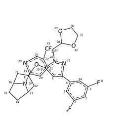 Fc1cc(F)cc(-c2cc(OC3CC4CCC(C3)N4c3ccc(C(F)(F)F)cn3)n(CC3OCCO3)n2)c1